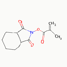 C=C(C)C(=O)ON1C(=O)C2CCCCC2C1=O